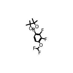 CC1(C)OB(c2ccc(OC(F)F)c(F)c2F)OC1(C)C